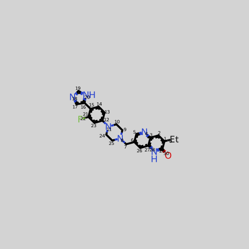 CCc1cc2ncc(CN3CCN(c4ccc(-c5cnc[nH]5)c(F)c4)CC3)cc2[nH]c1=O